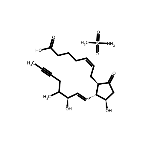 CC#CCC(C)[C@H](O)/C=C/[C@H]1[C@H](O)CC(=O)[C@@H]1C/C=C\CCCC(=O)O.CS(N)(=O)=O